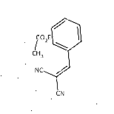 CCOC(C)=O.N#CC(C#N)=Cc1ccccc1